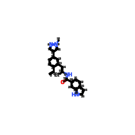 C=Cc1ccc(-c2cnn(C)c2)cc1/C=C(\CC)NC(=O)c1ccc2cc[nH]c2c1